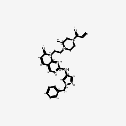 C=CC(=O)N1CCN(CCn2c(=O)ccc3cnc(Nc4cnn(Cc5ccccc5)c4)nc32)[C@@H](C)C1